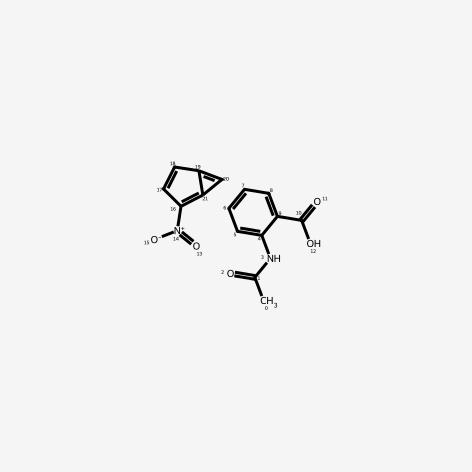 CC(=O)Nc1ccccc1C(=O)O.O=[N+]([O-])c1ccc2cc1-2